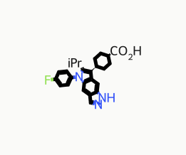 CC(C)c1c([C@H]2CC[C@H](C(=O)O)CC2)c2cc3[nH]ncc3cc2n1-c1ccc(F)cc1